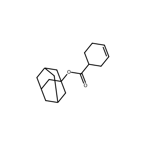 O=C(OC12CC3CC(CC(C3)C1)C2)C1CC=CCC1